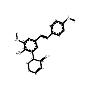 COc1ccc(/C=C/c2cc(OC)c(O)c(C3CCC=CC3=O)c2)cc1